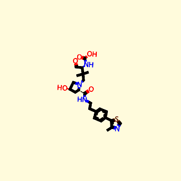 Cc1ncsc1-c1ccc(CCNC(=O)[C@@H]2C[C@H](O)CN2CC(C)(C)[C@@H](C=O)NC(=O)O)cc1